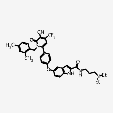 CCN(CC)CCCNC(=O)c1cc2cc(Oc3ccc(-c4cc(C(F)(F)F)c(C#N)c(=O)n4Cc4ccc(C)cc4C)cc3)ccc2[nH]1